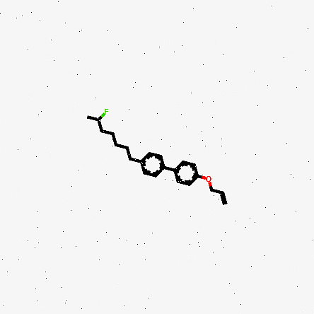 C=CCOc1ccc(-c2ccc(CCCCCC(C)F)cc2)cc1